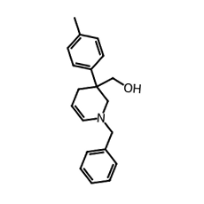 Cc1ccc(C2(CO)CC=CN(Cc3ccccc3)C2)cc1